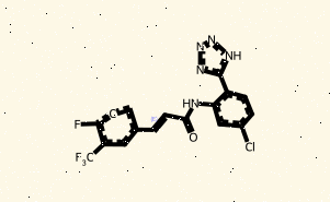 O=C(/C=C/c1ccc(F)c(C(F)(F)F)c1)Nc1cc(Cl)ccc1-c1nnn[nH]1